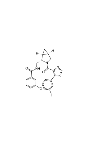 O=C(NC[C@@H]1[C@H]2C[C@H]2CN1C(=O)c1ncsc1-c1cccc(F)c1)c1cccc(Cl)c1